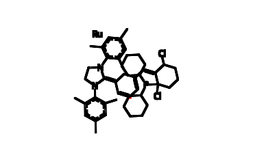 Cc1cc(C)c(N2CCN(c3c(C)cc(C)cc3C)C2=C2C=CC=C(C=C3C(Cl)CCCC3(Cl)P(C3CCCCC3)C3CCCCC3)C2)c(C)c1.[Ru]